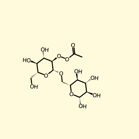 CC(=O)OO[C@H]1[C@H](OC[C@H]2O[C@@H](O)[C@H](O)[C@@H](O)[C@@H]2O)O[C@H](CO)[C@@H](O)[C@@H]1O